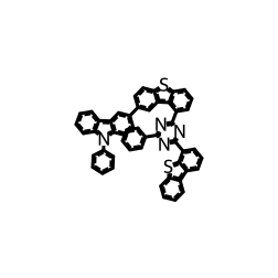 c1ccc(-c2nc(-c3cccc4c3sc3ccccc34)nc(-c3cccc4sc5ccc(-c6ccc7c(c6)c6ccccc6n7-c6ccccc6)cc5c34)n2)cc1